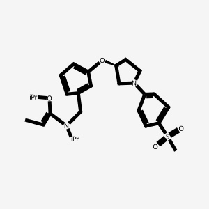 C/C=C(\OC(C)C)N(Cc1cccc(O[C@H]2CCN(c3ccc(S(C)(=O)=O)cc3)C2)c1)C(C)C